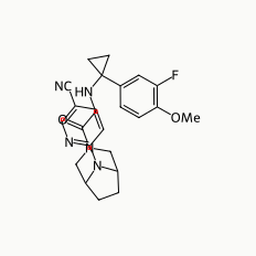 COc1ccc(C2(NCC(=O)N3CC4CCC(C3)N4c3ccc(C#N)cn3)CC2)cc1F